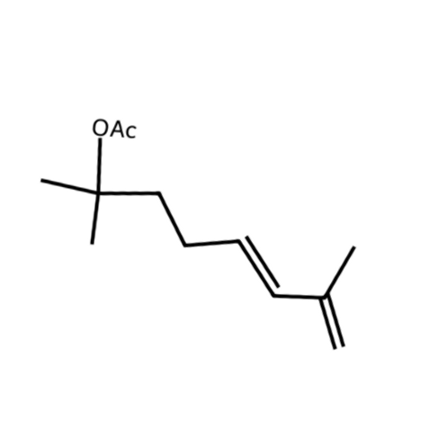 C=C(C)C=CCCC(C)(C)OC(C)=O